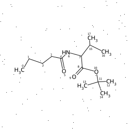 CCCCC(=O)NC(C(=O)OC(C)(C)C)C(C)C